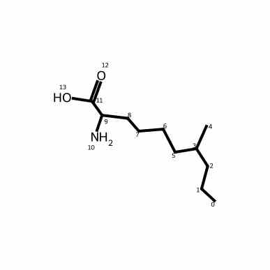 CCCC(C)CCCCC(N)C(=O)O